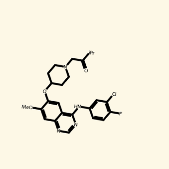 COc1cc2ncnc(Nc3ccc(F)c(Cl)c3)c2cc1OC1CCN(CC(=O)C(C)C)CC1